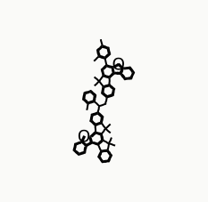 Cc1ccc(-c2cc3c(c4c2oc2ccccc24)-c2ccc(CC(c4ccc5c(c4)C(C)(C)c4c6c(c7c(oc8ccccc87)c4-5)-c4ccccc4C6(C)C)c4ccccc4C)cc2C3(C)C)c(C)c1